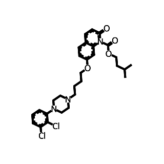 CC(C)CCOC(=O)n1c(=O)ccc2ccc(OCCCCN3CCN(c4cccc(Cl)c4Cl)CC3)cc21